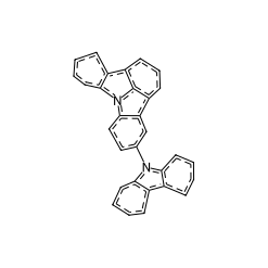 c1ccc2c(c1)c1ccccc1n2-c1ccc2c(c1)c1cccc3c4ccccc4n2c31